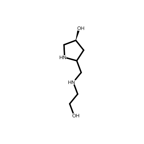 OCCNCC1C[C@H](O)CN1